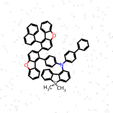 C[Si]1(C)c2ccccc2-c2c(N(c3ccc(-c4ccccc4)cc3)c3ccc(-c4c(-c5ccc6oc7ccccc7c6c5-c5cccc6ccccc56)ccc5oc6ccccc6c45)cc3)cccc21